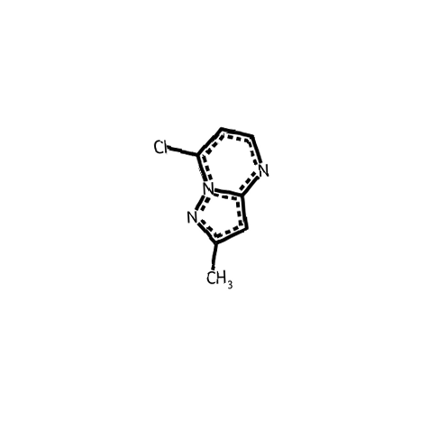 Cc1cc2nccc(Cl)n2n1